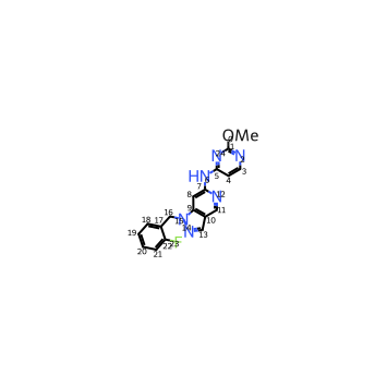 COc1nccc(Nc2cc3c(cn2)cnn3Cc2ccccc2F)n1